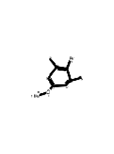 CCCCOc1cc(C)c(Br)c(C)c1